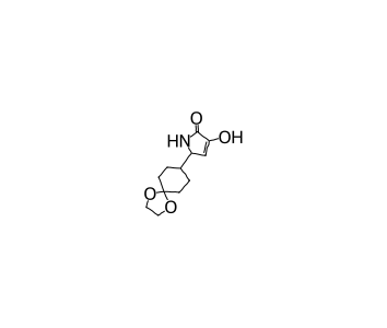 O=C1NC(C2CCC3(CC2)OCCO3)C=C1O